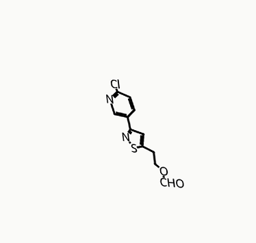 O=COCCc1cc(-c2ccc(Cl)nc2)ns1